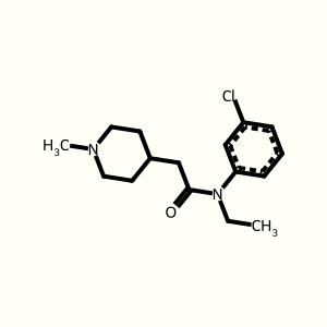 CCN(C(=O)CC1CCN(C)CC1)c1cccc(Cl)c1